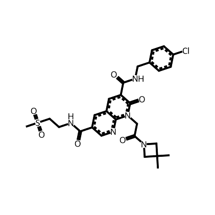 CC1(C)CN(C(=O)Cn2c(=O)c(C(=O)NCc3ccc(Cl)cc3)cc3cc(C(=O)NCCS(C)(=O)=O)cnc32)C1